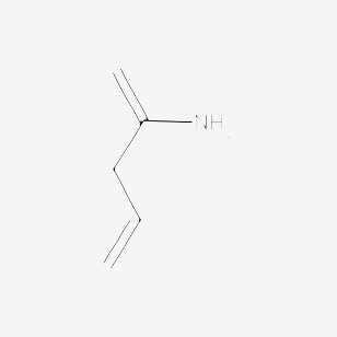 [CH]=C(N)CC=C